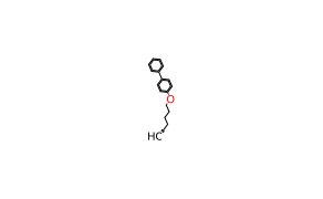 C#CCCCCOc1ccc(-c2ccccc2)cc1